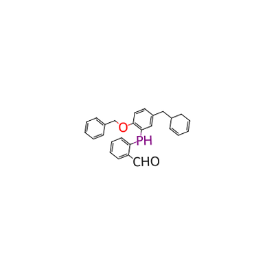 O=Cc1ccccc1Pc1cc(CC2C=CC=CC2)ccc1OCc1ccccc1